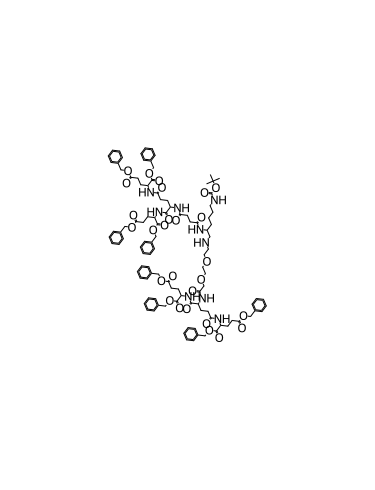 CC(C)(C)OC(=O)NCCCCC(CNCCOCCOCC(=O)NC(CCC(=O)NC(CCC(=O)OCc1ccccc1)C(=O)OCc1ccccc1)C(=O)NC(CCC(=O)OCc1ccccc1)C(=O)OCc1ccccc1)NC(=O)CCC(=O)NC(CCC(=O)NC(CCC(=O)OCc1ccccc1)C(=O)OCc1ccccc1)C(=O)NC(CCC(=O)OCc1ccccc1)C(=O)OCc1ccccc1